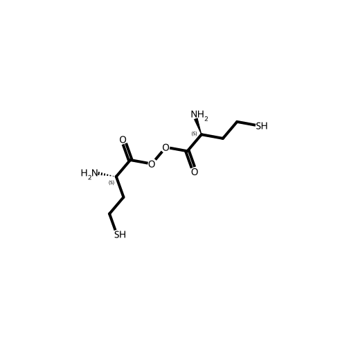 N[C@@H](CCS)C(=O)OOC(=O)[C@@H](N)CCS